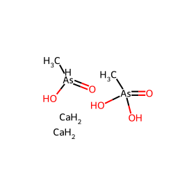 C[AsH](=O)O.C[As](=O)(O)O.[CaH2].[CaH2]